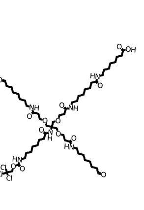 O=CCCCCCCCNC(=O)CCOCC(COCCC(=O)NCCCCCCCC=O)(COCCC(=O)NCCCCCCCC(=O)NCCCCCCCC(=O)O)NC(=O)CCCCCCCNC(=O)OCC(Cl)(Cl)Cl